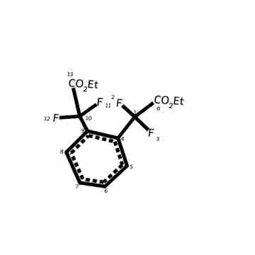 CCOC(=O)C(F)(F)c1ccccc1C(F)(F)C(=O)OCC